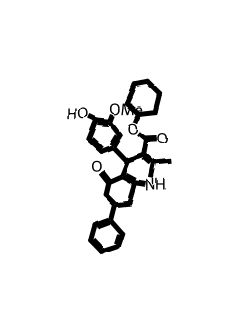 COc1cc(C2C(C(=O)OC3CCCCC3)=C(C)NC3=C2C(=O)CC(c2ccccc2)C3)ccc1O